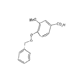 COc1cc(C(=O)O)ccc1OOCc1ccccc1